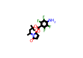 CC(CC(C)(C)OC(=O)c1c(F)c(F)c(N)c(F)c1F)N1C(=O)C=CC1=O